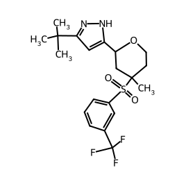 CC(C)(C)c1cc(C2CC(C)(S(=O)(=O)c3cccc(C(F)(F)F)c3)CCO2)[nH]n1